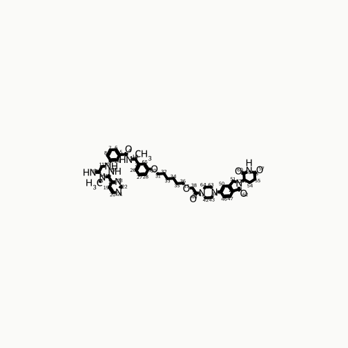 C[C@@H](NC(=O)c1cccc(NCC(=N)N(C)C(=N)c2ccncn2)c1)c1cccc(OCCCCCCOCC(=O)N2CCN(c3ccc4c(c3)CN(C3CCC(=O)NC3=O)C4=O)CC2)c1